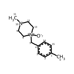 Cc1ccc(C[N+]2([O-])CCN(C)CC2)cc1